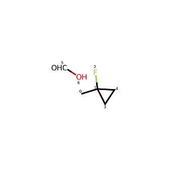 CC1(F)CC1.O=CO